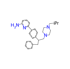 CC(C)CN1CCN(CC(Cc2ccccc2)c2ccc(-c3cccc(N)n3)cc2)CC1